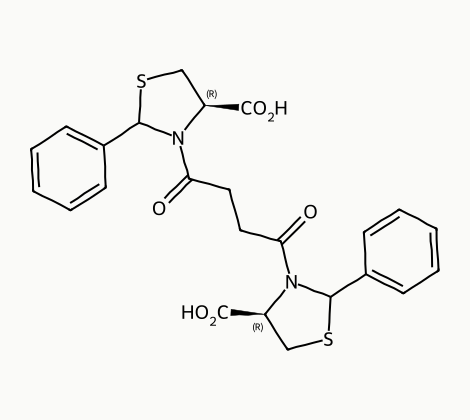 O=C(O)[C@@H]1CSC(c2ccccc2)N1C(=O)CCC(=O)N1C(c2ccccc2)SC[C@H]1C(=O)O